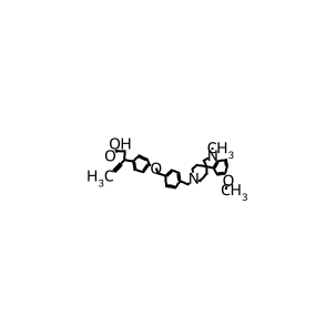 CC#CC(CC(=O)O)c1ccc(OCc2ccc(CN3CCC4(CC3)CN(C)c3ccc(OC)cc34)cc2)cc1